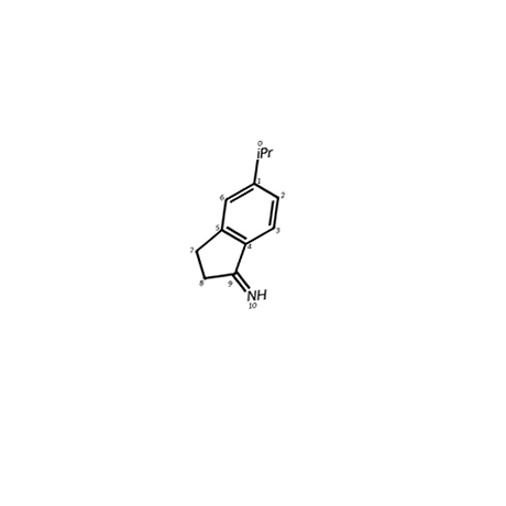 CC(C)c1ccc2c(c1)CCC2=N